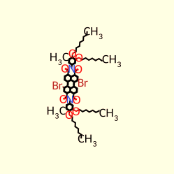 CCCCCCCCOc1cc(N2C(=O)c3ccc4c5c(Br)cc6c7c(ccc(c8c(Br)cc(c3c48)C2=O)c75)C(=O)N(c2cc(C)c(OCCCCCCCC)c(OCCCCCCCC)c2)C6=O)cc(C)c1OCCCCCCCC